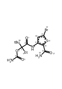 CCC(OC(N)=O)(C(=O)Nc1cc(Br)sc1C(N)=O)C(C)(C)C